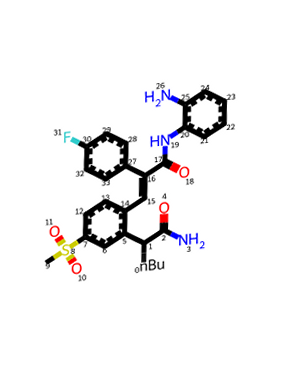 CCCCC(C(N)=O)c1cc(S(C)(=O)=O)ccc1C=C(C(=O)Nc1ccccc1N)c1ccc(F)cc1